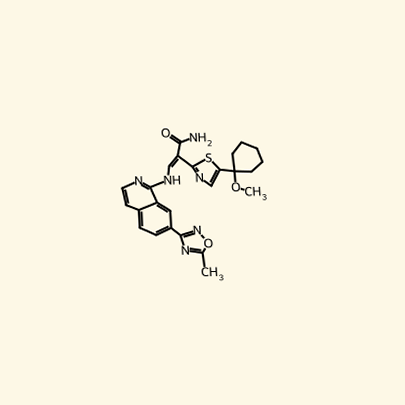 COC1(c2cnc(C(=CNc3nccc4ccc(-c5noc(C)n5)cc34)C(N)=O)s2)CCCCC1